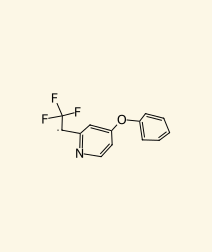 FC(F)(F)[CH]c1cc(Oc2ccccc2)ccn1